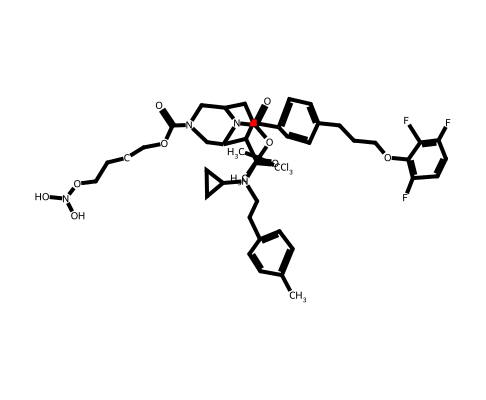 Cc1ccc(CCN(C(=O)C2C(c3ccc(CCCOc4c(F)ccc(F)c4F)cc3)CC3CN(C(=O)OCCCCON(O)O)CC2N3C(=O)OC(C)(C)C(Cl)(Cl)Cl)C2CC2)cc1